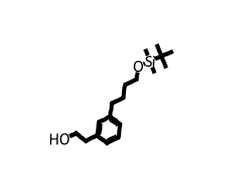 CC(C)(C)[Si](C)(C)OCCCCc1cccc(CCO)c1